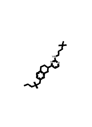 CCCC(C)(C)Cc1ccc2c(c1)CC(c1ccnc(NCCCC(C)(C)C)n1)CC2